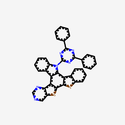 c1ccc(-c2nc(-c3ccccc3)nc(-n3c4ccccc4c4c5c6ncncc6sc5c5sc6ccccc6c5c43)n2)cc1